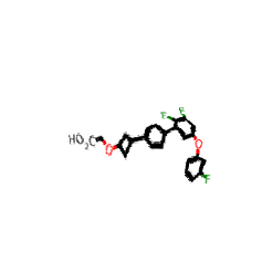 O=C(O)COC1CC(c2ccc(-c3cc(Oc4cccc(F)c4)cc(F)c3F)cc2)C1